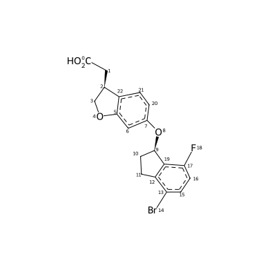 O=C(O)C[C@@H]1COc2cc(O[C@@H]3CCc4c(Br)ccc(F)c43)ccc21